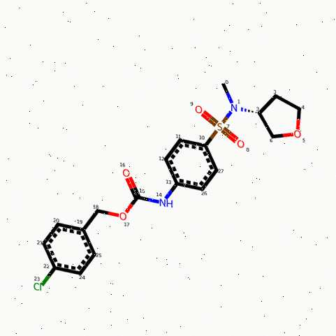 CN([C@@H]1CCOC1)S(=O)(=O)c1ccc(NC(=O)OCc2ccc(Cl)cc2)cc1